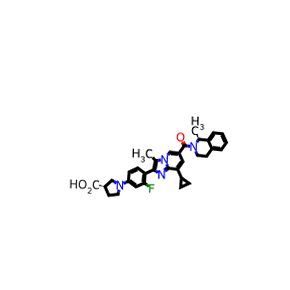 Cc1c(-c2ccc(N3CC[C@H](C(=O)O)C3)cc2F)nc2c(C3CC3)cc(C(=O)N3CCc4ccccc4[C@H]3C)cn12